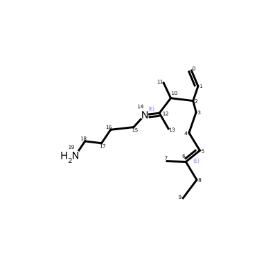 C=CC(CC/C=C(\C)CC)C(C)/C(C)=N/CCCCN